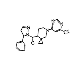 N#Cc1cc(N2CCC(C(=O)N3N=CCC3c3ccccc3)C3(CC3)C2)ncn1